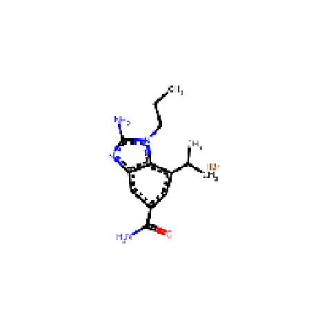 Br.CCCn1c(N)nc2cc(C(N)=O)cc(C(C)C)c21